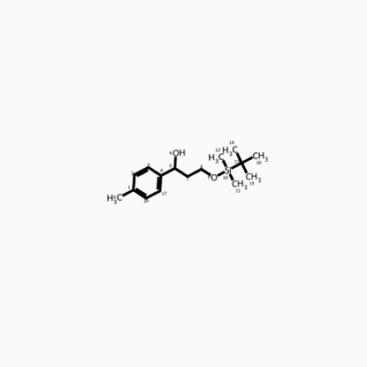 Cc1ccc(C(O)CCO[Si](C)(C)C(C)(C)C)cc1